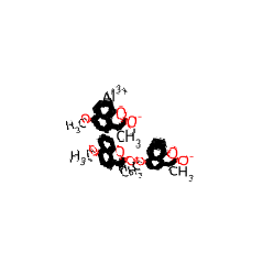 COc1ccc(C(C)C(=O)[O-])c2ccccc12.COc1ccc(C(C)C(=O)[O-])c2ccccc12.COc1ccc(C(C)C(=O)[O-])c2ccccc12.[Al+3]